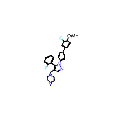 COc1ccc(-c2ccc(-n3ncc(CN4CCN(C)CC4)c3-c3ccccc3F)cc2)cc1F